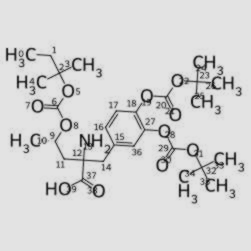 CCC(C)(C)OC(=O)O[C@@H](C)CC(N)(Cc1ccc(OC(=O)OC(C)(C)C)c(OC(=O)OC(C)(C)C)c1)C(=O)O